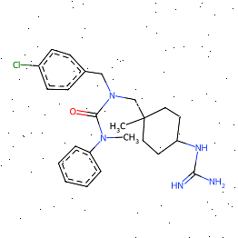 CN(C(=O)N(Cc1ccc(Cl)cc1)CC1(C)CCC(NC(=N)N)CC1)c1ccccc1